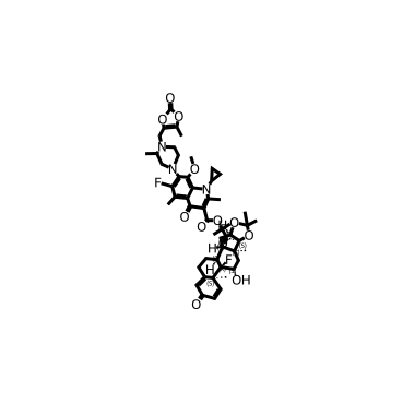 COc1c(N2CCN(Cc3oc(=O)oc3C)C(C)C2)c(F)c(C)c2c(=O)c(C(=O)OC(C)(C)C(=O)[C@@]34OC(C)(C)O[C@@H]3C[C@H]3[C@@H]5CCC6=CC(=O)C=C[C@]6(C)[C@@]5(F)[C@@H](O)C[C@@]34C)c(C)n(C3CC3)c12